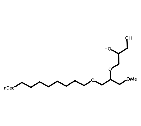 CCCCCCCCCCCCCCCCCCOCC(COC)OCC(O)CO